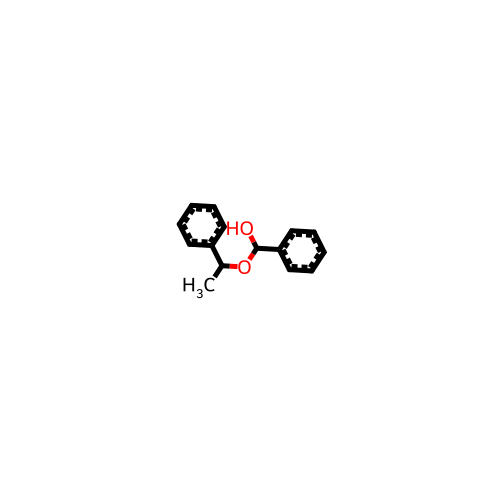 CC(OC(O)c1ccccc1)c1ccccc1